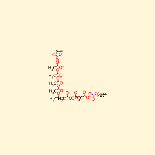 CC(=O)[O-].CC(=O)[O-].CC(=O)[O-].CC(=O)[O-].CC(=O)[O-].CC(=O)[O-].CC(=O)[O-].CC(=O)[O-].O=[N+]([O-])[O-].O=[N+]([O-])[O-].[Pd+2].[Pt+4].[Pt+4]